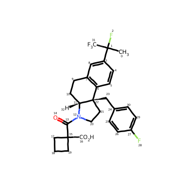 CC(F)(c1ccc2c(c1)CC[C@H]1N(C(=O)C3(C(=O)O)CCC3)CC[C@@]21Cc1ccc(F)cc1)C(F)(F)F